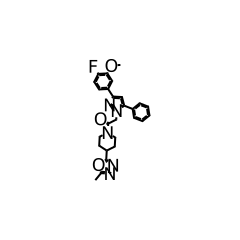 COc1cc(-c2cc(-c3ccccc3)n(CC(=O)N3CCC(c4nnc(C)o4)CC3)n2)ccc1F